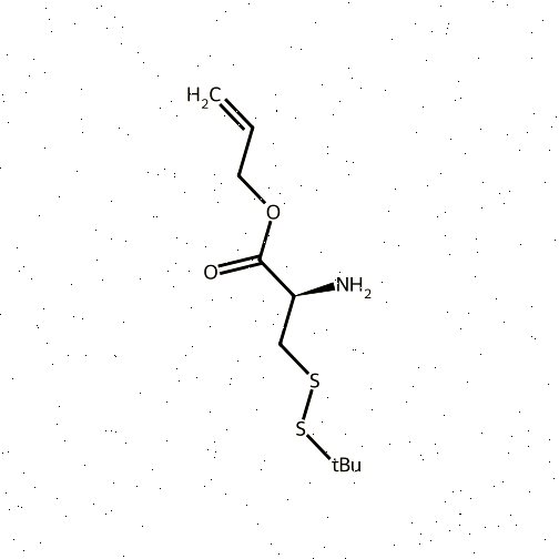 C=CCOC(=O)[C@@H](N)CSSC(C)(C)C